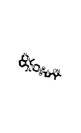 Cc1noc(-c2ccc(S(=O)(=O)N3CCN(CC(C)N4CN=Cc5cccc(CN(C)C)c54)CC3)s2)c1C